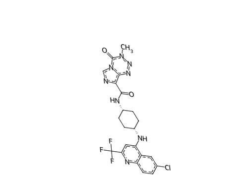 Cn1nnc2c(C(=O)N[C@H]3CC[C@@H](Nc4cc(C(F)(F)F)nc5ccc(Cl)cc45)CC3)ncn2c1=O